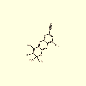 [C-]#[N+]c1cc(C)c2cc3c(cc2n1)C(O)=C(Br)C(C)(C)O3